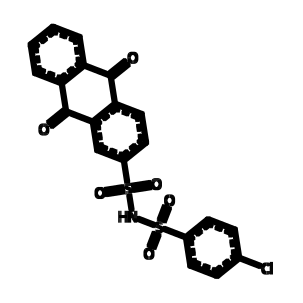 O=C1c2ccccc2C(=O)c2cc(S(=O)(=O)NS(=O)(=O)c3ccc(Cl)cc3)ccc21